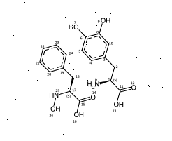 N[C@@H](Cc1ccc(O)c(O)c1)C(=O)O.O=C(O)[C@H](Cc1ccccc1)NO